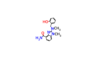 CN(Cc1ccccc1O)c1nc2c(C(N)=O)cccc2n1C